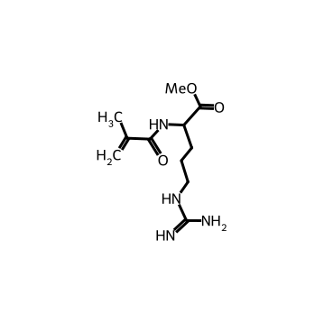 C=C(C)C(=O)NC(CCCNC(=N)N)C(=O)OC